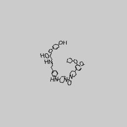 COc1ccc(C2CCN(C(=O)N3CCC(Nc4ccc(CCNC[C@H](O)COc5ccc(O)cc5)cc4)CC3)CC2)cc1OC1CCCC1